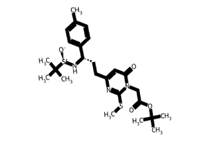 CSc1nc(CC[C@H](N[S@+]([O-])C(C)(C)C)c2ccc(C)cc2)cc(=O)n1CC(=O)OC(C)(C)C